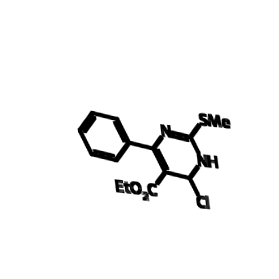 CCOC(=O)C1=C(c2ccccc2)N=C(SC)NC1Cl